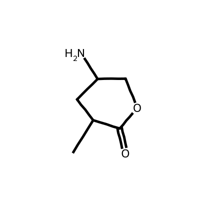 CC1CC(N)COC1=O